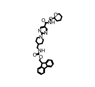 O=C(NCC1CCN(c2ncc(C(=O)NOC3CCCCO3)cn2)CC1)OCC1c2ccccc2-c2ccccc21